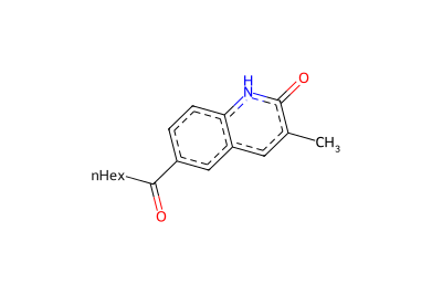 CCCCCCC(=O)c1ccc2[nH]c(=O)c(C)cc2c1